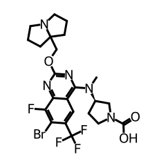 CN(c1nc(OCC23CCCN2CCC3)nc2c(F)c(Br)c(C(F)(F)F)cc12)[C@@H]1CCN(C(=O)O)C1